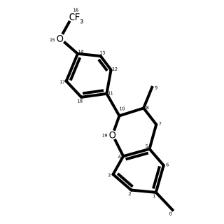 Cc1ccc2c(c1)CC(C)C(c1ccc(OC(F)(F)F)cc1)O2